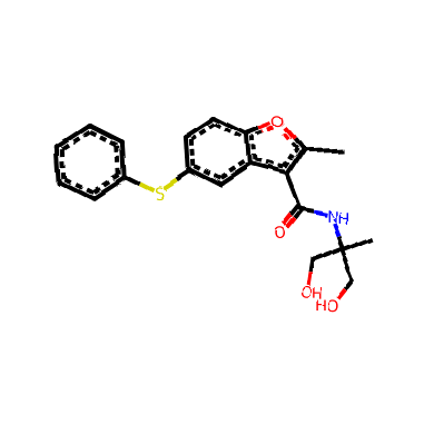 Cc1oc2ccc(Sc3ccccc3)cc2c1C(=O)NC(C)(CO)CO